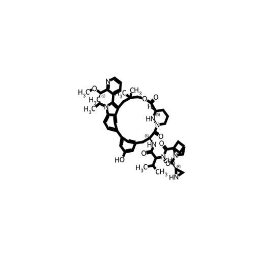 CCn1c(-c2cccnc2[C@H](C)OC)c2c3cc(ccc31)-c1cc(O)cc(c1)C[C@H](NC(=O)C(C(C)C)N(C)C(=O)C13CC(CN1C(=O)[C@H]1CN1)C3)C(=O)N1CCC[C@H](N1)C(=O)OCC(C)(C)C2